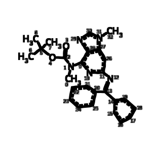 CN(C(=O)OC(C)(C)C)c1nc(N=C(c2ccccc2)c2ccccc2)cc2c1ncn2C